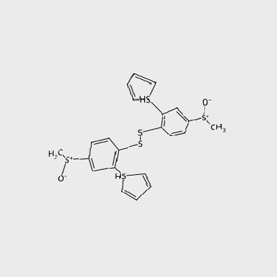 C[S+]([O-])c1ccc(SSc2ccc([S+](C)[O-])cc2[SH]2C=CC=C2)c([SH]2C=CC=C2)c1